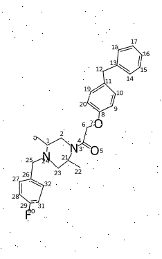 CC1CN(C(=O)COc2ccc(Cc3ccccc3)cc2)C(C)CN1Cc1ccc(F)cc1